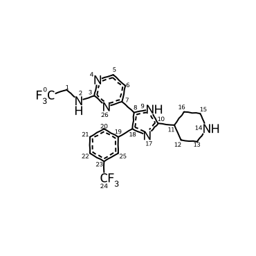 FC(F)(F)CNc1nccc(-c2[nH]c(C3CCNCC3)nc2-c2cccc(C(F)(F)F)c2)n1